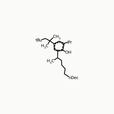 CCCCCCCCCCCCCCC(C)c1cc(C(C)(C)CC(C)(C)C)cc(C(C)C)c1O